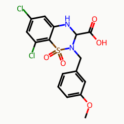 COc1cccc(CN2C(C(=O)O)Nc3cc(Cl)cc(Cl)c3S2(=O)=O)c1